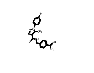 CC(=N)c1ccc(CNC(=O)c2nnn(-c3ccc(Br)cc3)c2C)cc1